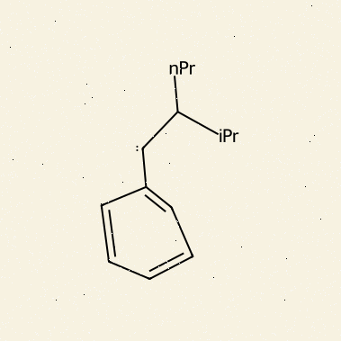 CCCC([C]c1ccccc1)C(C)C